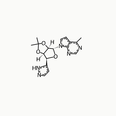 Cc1ncnc2c1ccn2[C@@H]1O[C@@H](c2ccn[nH]2)[C@H]2OC(C)(C)O[C@H]21